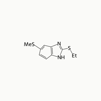 CCSc1nc2cc(SC)ccc2[nH]1